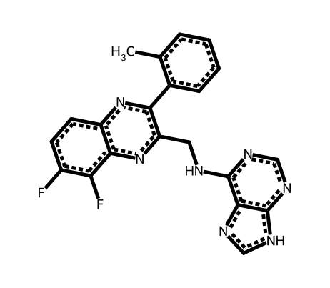 Cc1ccccc1-c1nc2ccc(F)c(F)c2nc1CNc1ncnc2[nH]cnc12